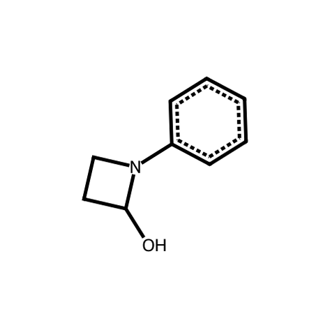 OC1CCN1c1ccccc1